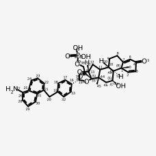 C[C@]12C=CC(=O)C=C1CC[C@H]1C3C[C@H]4O[C@@H](c5ccc(Cc6cccc7c(N)cccc67)cc5)O[C@@]4(C(=O)COP(=O)(O)O)[C@@]3(C)C[C@H](O)[C@@H]12